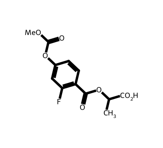 COC(=O)Oc1ccc(C(=O)OC(C)C(=O)O)c(F)c1